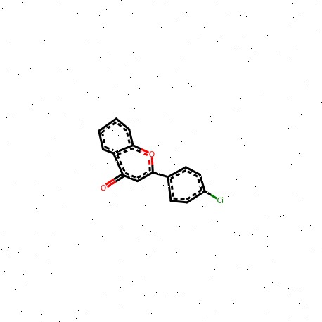 O=c1cc(-c2ccc(Cl)cc2)oc2ccccc12